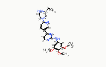 CC[C@H]1CN(c2ccc(-c3ccnc(Nc4cc(OC)c(OC)c(OC)c4)n3)cn2)CCN1